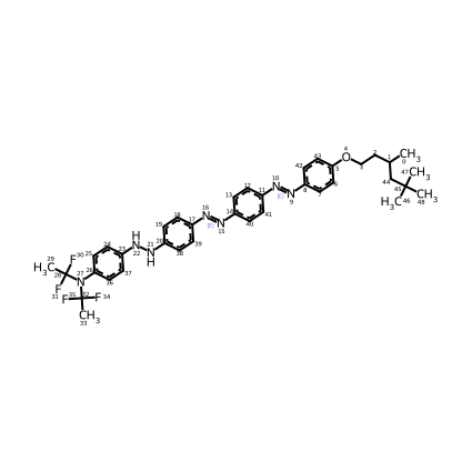 CC(CCOc1ccc(/N=N/c2ccc(/N=N/c3ccc(NNc4ccc(N(C(C)(F)F)C(C)(F)F)cc4)cc3)cc2)cc1)CC(C)(C)C